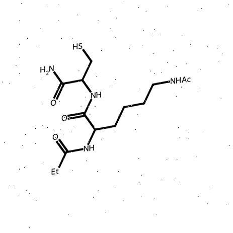 CCC(=O)NC(CCCCNC(C)=O)C(=O)NC(CS)C(N)=O